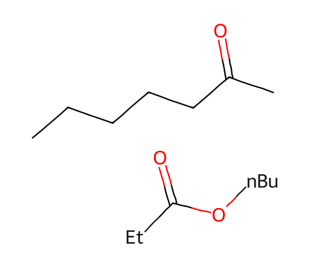 CCCCCC(C)=O.CCCCOC(=O)CC